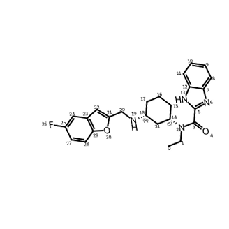 CCN(C(=O)c1nc2ccccc2[nH]1)[C@H]1CCC[C@@H](NCc2cc3cc(F)ccc3o2)C1